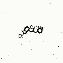 CCc1cc2c(C=C(Cc3ccccc3)C(=O)OC)cccc2s1